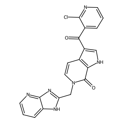 O=C(c1cccnc1Cl)c1c[nH]c2c(=O)n(Cc3nc4ncccc4[nH]3)ccc12